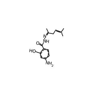 CC(C)=CCC(C)=NNC(=O)c1ccc(N)cc1O